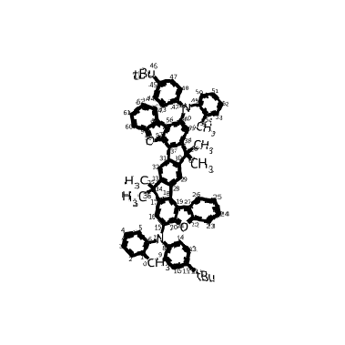 Cc1ccccc1N(c1ccc(C(C)(C)C)cc1)c1cc2c(c3c1oc1ccccc13)-c1cc3c(cc1C2(C)C)-c1c(cc(N(c2ccc(C(C)(C)C)cc2)c2ccccc2C)c2c1oc1ccccc12)C3(C)C